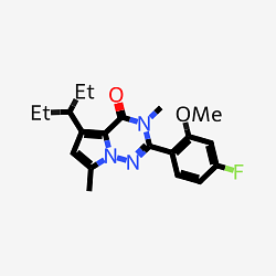 CCC(CC)c1cc(C)n2nc(-c3ccc(F)cc3OC)n(C)c(=O)c12